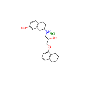 Cl.Oc1ccc2c(c1)CC(NCC(O)COc1cccc3c1CCCC3)CC2